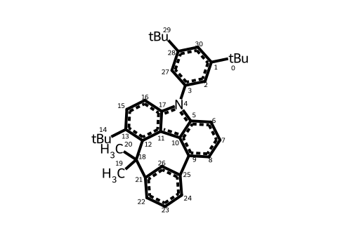 CC(C)(C)c1cc(-n2c3cccc4c3c3c(c(C(C)(C)C)ccc32)C(C)(C)c2cccc-4c2)cc(C(C)(C)C)c1